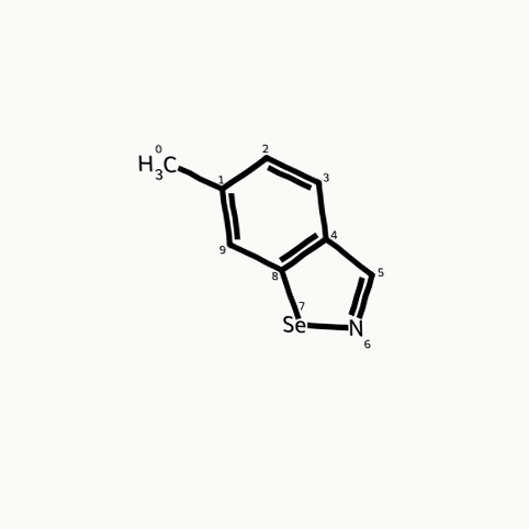 Cc1ccc2cn[se]c2c1